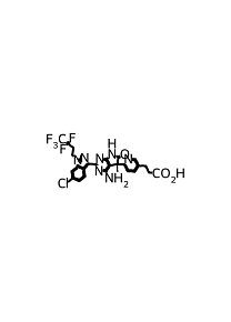 C[C@]1(c2ccc(CCC(=O)O)cn2)C(=O)Nc2nc(-c3nn(CCC(F)(F)C(F)(F)F)c4cc(Cl)ccc34)nc(N)c21